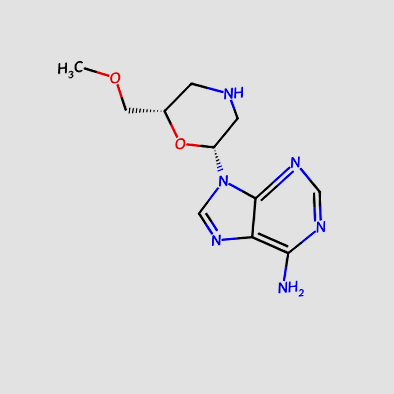 COC[C@@H]1CNC[C@H](n2cnc3c(N)ncnc32)O1